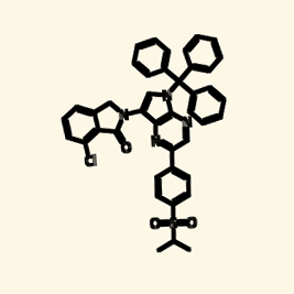 CC(C)S(=O)(=O)c1ccc(-c2cnc3c(n2)c(N2Cc4cccc(Cl)c4C2=O)cn3C(c2ccccc2)(c2ccccc2)c2ccccc2)cc1